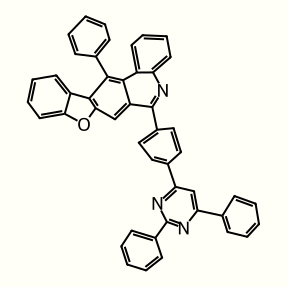 c1ccc(-c2cc(-c3ccc(-c4nc5ccccc5c5c(-c6ccccc6)c6c(cc45)oc4ccccc46)cc3)nc(-c3ccccc3)n2)cc1